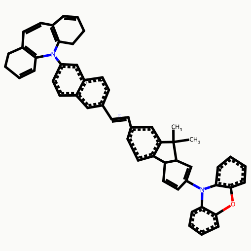 CC1(C)c2cc(/C=C/c3ccc4cc(N5C6=C(C=CC7=C5CCC=C7)CCC=C6)ccc4c3)ccc2C2C=CC(N3c4ccccc4Oc4ccccc43)=CC21